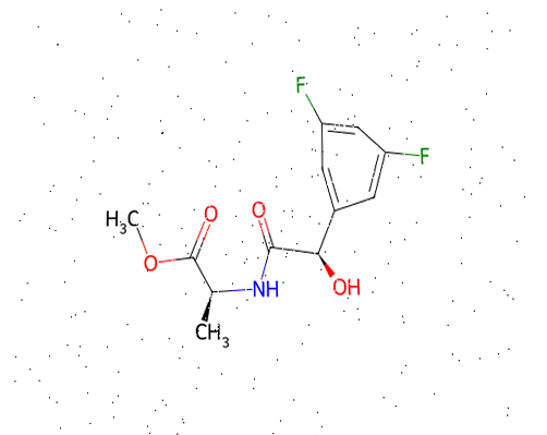 COC(=O)[C@H](C)NC(=O)[C@H](O)c1cc(F)cc(F)c1